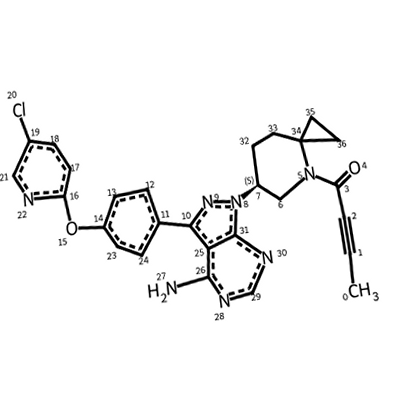 CC#CC(=O)N1C[C@@H](n2nc(-c3ccc(Oc4ccc(Cl)cn4)cc3)c3c(N)ncnc32)CCC12CC2